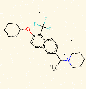 CC(c1ccc2c(C(F)(F)F)c(OC3CCCCC3)ccc2c1)N1C[CH]CCC1